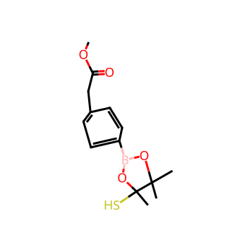 COC(=O)Cc1ccc(B2OC(C)(C)C(C)(S)O2)cc1